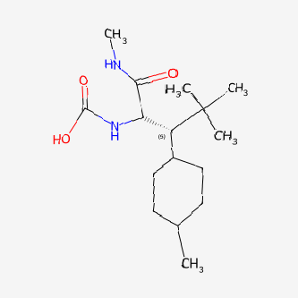 CNC(=O)C(NC(=O)O)[C@@H](C1CCC(C)CC1)C(C)(C)C